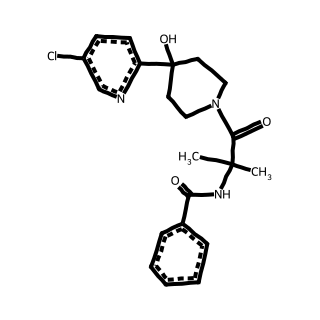 CC(C)(NC(=O)c1ccccc1)C(=O)N1CCC(O)(c2ccc(Cl)cn2)CC1